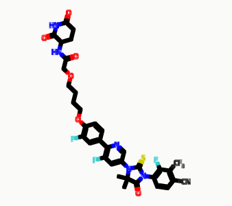 CC1(C)C(=O)N(c2ccc(C#N)c(C(F)(F)F)c2F)C(=S)N1c1cnc(-c2ccc(OCCCCOCC(=O)NC3CCC(=O)NC3=O)c(F)c2)c(F)c1